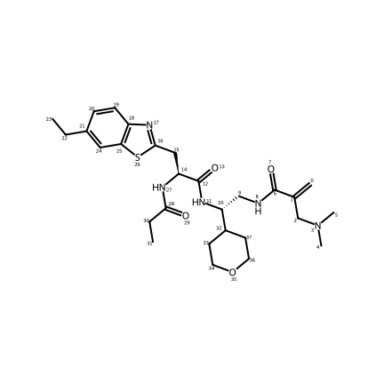 C=C(CN(C)C)C(=O)NC[C@@H](NC(=O)[C@H](Cc1nc2ccc(CC)cc2s1)NC(=O)CC)C1CCOCC1